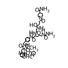 COC(C(C)C(=O)NC(Cc1ccccc1)C(=O)NCc1ccc(NC(=O)C(CCCNC(N)=O)NC(=O)CNC(O)CCC(=O)N2CCC(C(N)=O)CC2)cc1)C1CCCN1C=O